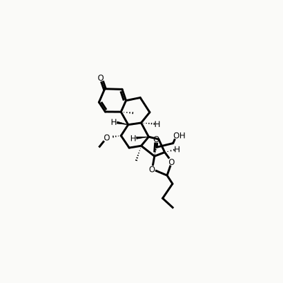 CCCC1O[C@@H]2C[C@H]3[C@@H]4CCC5=CC(=O)C=C[C@]5(C)[C@H]4[C@@H](OC)C[C@]3(C)[C@]2(C(=O)CO)O1